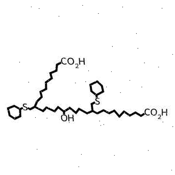 O=C(O)CCCCCCCCCC(CCCCC(O)CCCCC(CCCCCCCCCC(=O)O)CSC1CCCCC1)CSC1CCCCC1